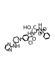 O=C(NC[C@H](NS(=O)(=O)c1ccccc1)C(=O)O)c1ccc(N2CCC[C@H](Nc3ncccn3)C2)cc1Cl